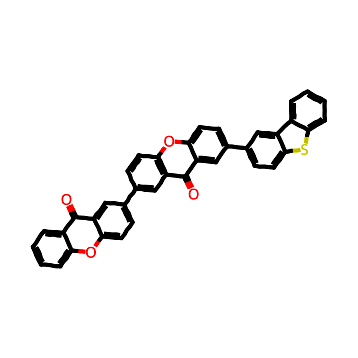 O=c1c2ccccc2oc2ccc(-c3ccc4oc5ccc(-c6ccc7sc8ccccc8c7c6)cc5c(=O)c4c3)cc12